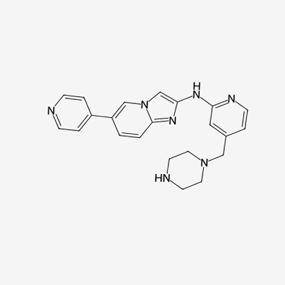 c1cc(-c2ccc3nc(Nc4cc(CN5CCNCC5)ccn4)cn3c2)ccn1